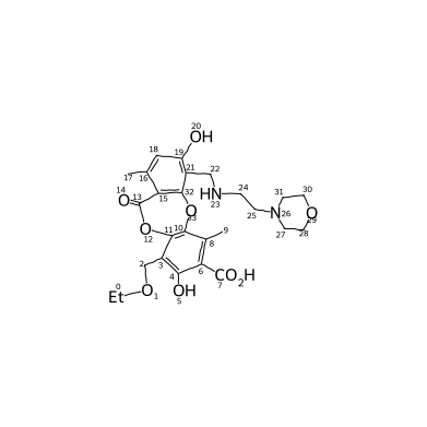 CCOCc1c(O)c(C(=O)O)c(C)c2c1OC(=O)c1c(C)cc(O)c(CNCCN3CCOCC3)c1O2